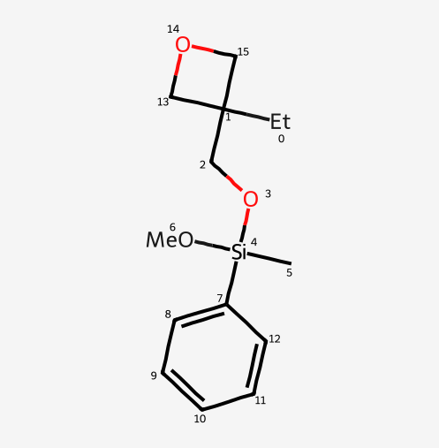 CCC1(CO[Si](C)(OC)c2ccccc2)COC1